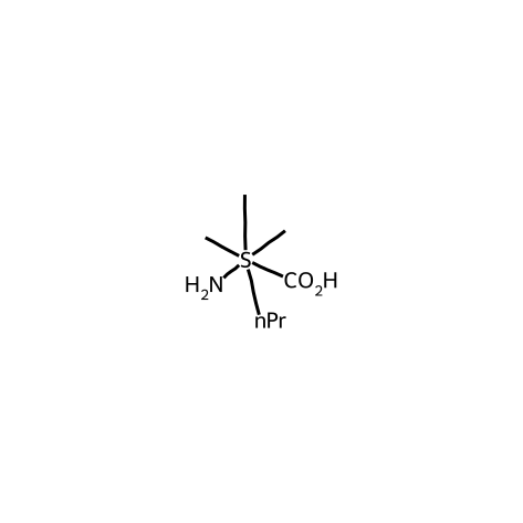 CCCS(C)(C)(C)(N)C(=O)O